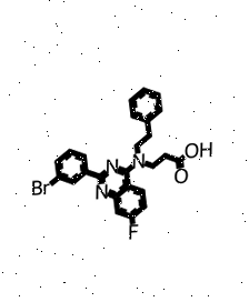 O=C(O)CCN(CCc1ccccc1)c1nc(-c2cccc(Br)c2)nc2cc(F)ccc12